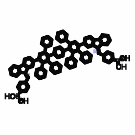 OB(O)c1ccc(/C=C2\c3ccccc3-c3ccc(-c4cc(-c5ccccc5)c(-c5ccc(-c6c(-c7ccccc7)cc(-c7ccc8c(c7)/C(=C/c7ccc(B(O)O)cc7)c7ccccc7-8)c(-c7ccccc7)c6-c6ccccc6)cc5)c(-c5ccccc5)c4-c4ccccc4)cc32)cc1